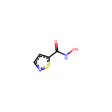 O=C(NO)c1ccns1